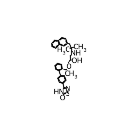 CC(OC[C@H](O)CNC(C)(C)Cc1ccc2ccccc2c1)c1ccccc1-c1ccc(-c2nsc(=O)[nH]2)cc1